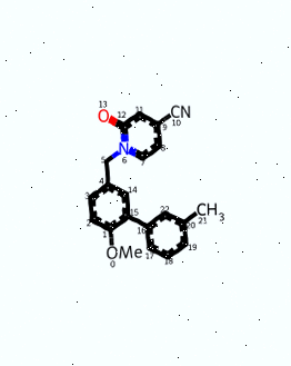 COc1ccc(Cn2ccc(C#N)cc2=O)cc1-c1cccc(C)c1